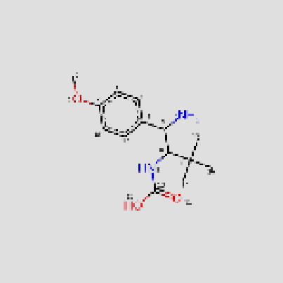 COc1ccc(C(N)C(NC(=O)O)C(C)(C)C)cc1